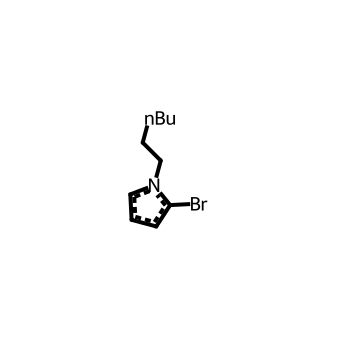 CCCCCCn1cccc1Br